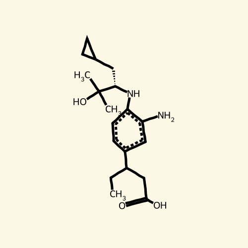 CCC(CC(=O)O)c1ccc(N[C@@H](CC2CC2)C(C)(C)O)c(N)c1